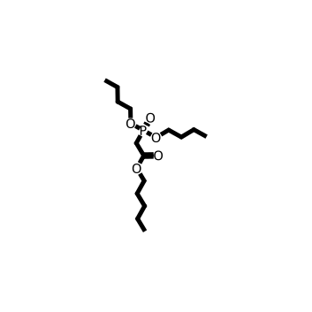 CCCCCOC(=O)CP(=O)(OCCCC)OCCCC